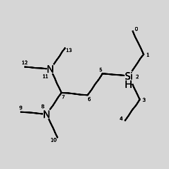 CC[SiH](CC)CCC(N(C)C)N(C)C